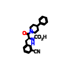 N#Cc1cccc(C[C@H](NC(=O)O)C(=O)N2CCC(c3ccccc3)CC2)c1